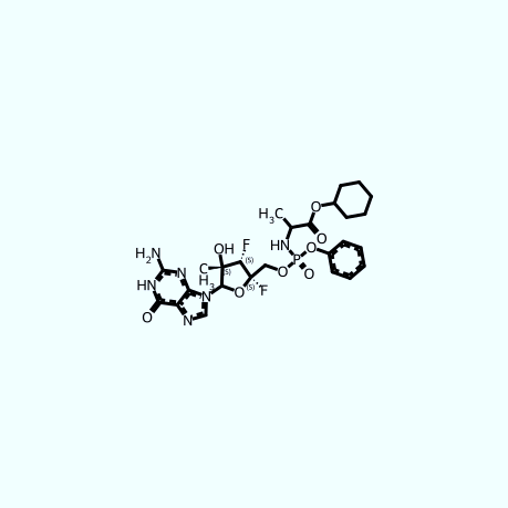 CC(NP(=O)(OC[C@@]1(F)OC(n2cnc3c(=O)[nH]c(N)nc32)[C@](C)(O)[C@@H]1F)Oc1ccccc1)C(=O)OC1CCCCC1